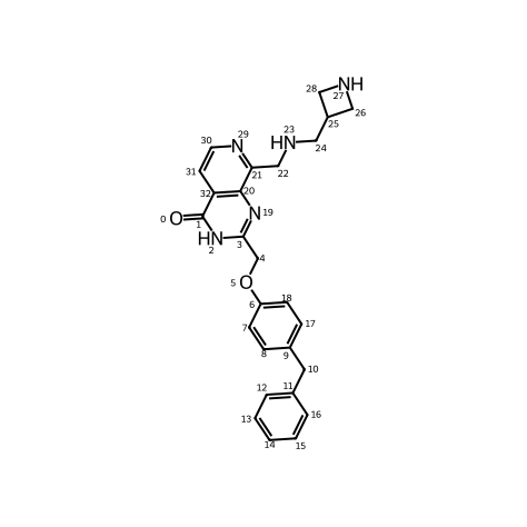 O=c1[nH]c(COc2ccc(Cc3ccccc3)cc2)nc2c(CNCC3CNC3)nccc12